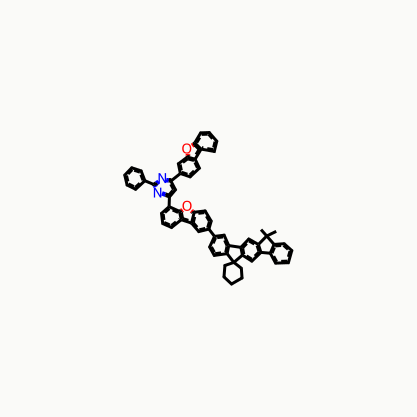 CC1(C)c2ccccc2-c2cc3c(cc21)-c1cc(-c2ccc4oc5c(-c6cc(-c7ccc8c(c7)oc7ccccc78)nc(-c7ccccc7)n6)cccc5c4c2)ccc1C31CCCCC1